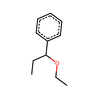 CCOC(CC)c1[c]cccc1